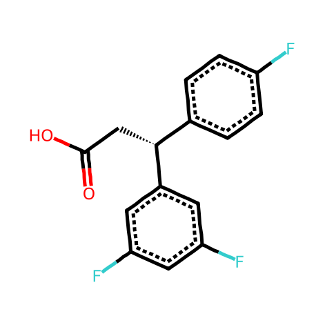 O=C(O)C[C@H](c1ccc(F)cc1)c1cc(F)cc(F)c1